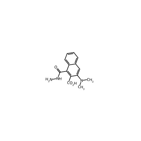 CN(C)c1cc2ccccc2c(C(=O)NN)c1C(=O)O